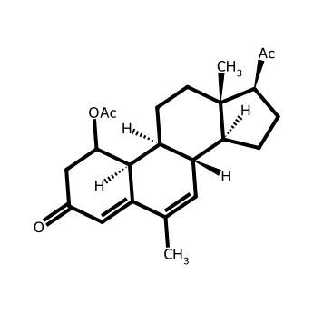 CC(=O)OC1CC(=O)C=C2C(C)=C[C@@H]3[C@H](CC[C@]4(C)[C@@H](C(C)=O)CC[C@@H]34)[C@@H]21